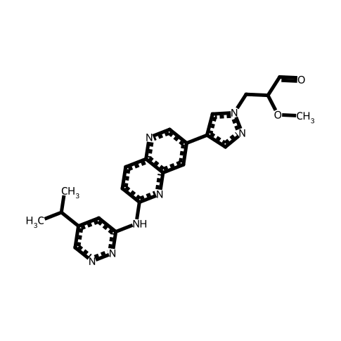 COC(C=O)Cn1cc(-c2cnc3ccc(Nc4cc(C(C)C)cnn4)nc3c2)cn1